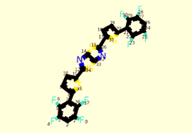 Fc1cc(F)c(F)c(-c2ccc(-c3nc4sc(-c5ccc(-c6c(F)c(F)cc(F)c6F)s5)nc4s3)s2)c1F